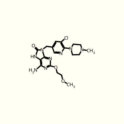 COCCOc1nc(N)c2[nH]c(=O)n(Cc3cnc(N4CCN(C)CC4)c(Cl)c3)c2n1